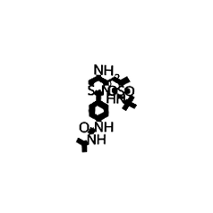 C=C(C[C@H]1N=C(c2ccc(NC(=O)NC(C)C)cc2)SCC1N)S(=O)(=O)NC(C)(C)C